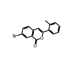 Cc1ccccc1-c1cc2ccc(Br)cc2c(=O)o1